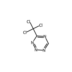 ClC(Cl)(Cl)c1ncnnn1